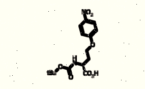 CC(C)(C)OC(=O)N[C@@H](CCOc1ccc([N+](=O)[O-])cc1)C(=O)O